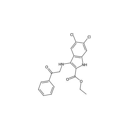 CCOC(=O)c1[nH]c2cc(Cl)c(Cl)cc2c1NCC(=O)c1ccccc1